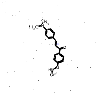 CN(C)c1ccc(/C=C/C(=O)c2ccc(OBO)cc2)cc1